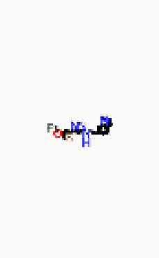 CCOc1csc(-c2cc(NCCc3ccc4ccn(C)c4c3)ncn2)c1